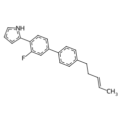 C/C=C/CCc1ccc(-c2ccc(-c3ccc[nH]3)c(F)c2)cc1